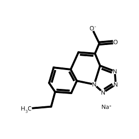 CCc1ccc2cc(C(=O)[O-])c3nnnn3c2c1.[Na+]